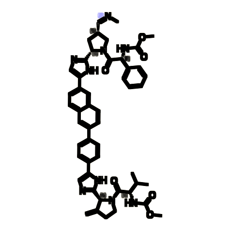 C=C1CCN(C(=O)[C@@H](NC(=O)OC)C(C)C)[C@@H]1c1ncc(-c2ccc(-c3ccc4cc(-c5cnc([C@@H]6C[C@H](/C=N\C)CN6C(=O)[C@H](NC(=O)OC)c6ccccc6)[nH]5)ccc4c3)cc2)[nH]1